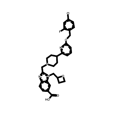 O=C(O)c1ccc2nc(CN3CCC(c4cccc(OCc5ccc(Cl)cc5F)n4)CC3)n(CC3CCO3)c2c1